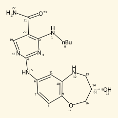 CCCCNc1nc(Nc2ccc3c(c2)NC[C@H](O)CO3)ncc1C(N)=O